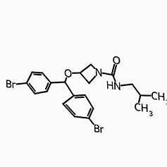 CC(C)CNC(=O)N1CC(OC(c2ccc(Br)cc2)c2ccc(Br)cc2)C1